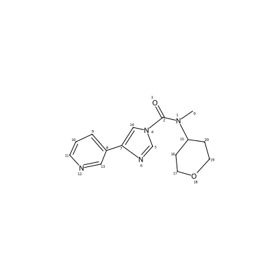 CN(C(=O)n1cnc(-c2cccnc2)c1)C1CCOCC1